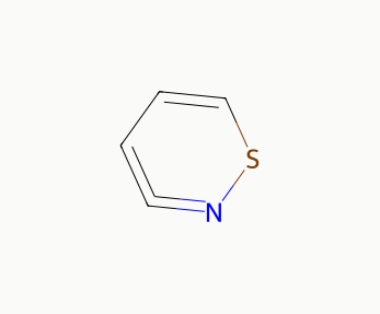 C1=CC=CSN=1